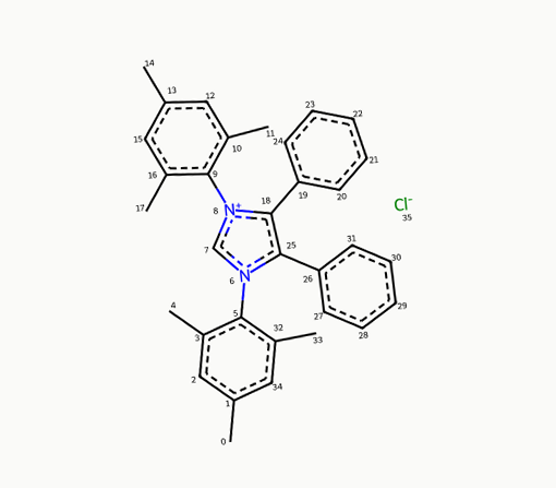 Cc1cc(C)c(-n2c[n+](-c3c(C)cc(C)cc3C)c(-c3ccccc3)c2-c2ccccc2)c(C)c1.[Cl-]